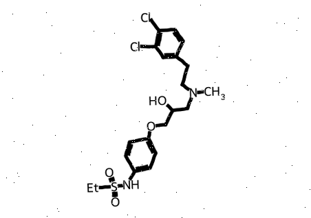 CCS(=O)(=O)Nc1ccc(OCC(O)CN(C)CCc2ccc(Cl)c(Cl)c2)cc1